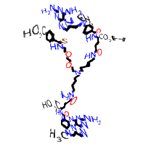 CN(Cc1cnc2nc(N)nc(N)c2n1)c1ccc(C(=O)NC(CCC(=O)NCCCCCN(CCCCCNC(=O)CC[C@@H](NC(=O)c2ccc(N(C)Cc3cnc4nc(N)nc(N)c4n3)cc2)C(=O)O)CCOCCOCCNC(=S)c2ccc(C(=O)O)cc2)C(=O)O)cc1